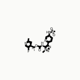 Cc1cc([C@@H](C)OC(=O)Nc2c(-c3ccc(NS(C)(=O)=O)cn3)nnn2C)c(F)cn1